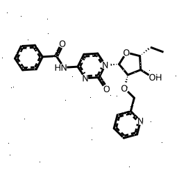 CC[C@H]1O[C@@H](n2ccc(NC(=O)c3ccccc3)nc2=O)[C@@H](OCc2ccccn2)C1O